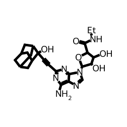 CCNC(=O)C1OC(n2cnc3c(N)nc(C#CC4(O)C5CC6CC(C5)CC4C6)nc32)C(O)C1O